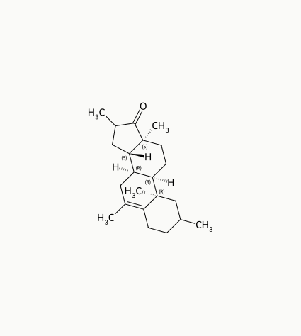 CC1=C2CCC(C)C[C@]2(C)[C@@H]2CC[C@]3(C)C(=O)C(C)C[C@H]3[C@@H]2C1